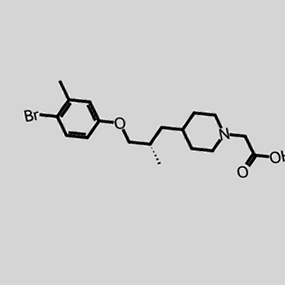 Cc1cc(OC[C@@H](C)CC2CCN(CC(=O)O)CC2)ccc1Br